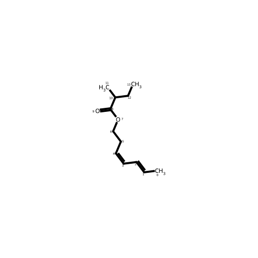 C/C=C/C=C\CCOC(=O)C(C)CC